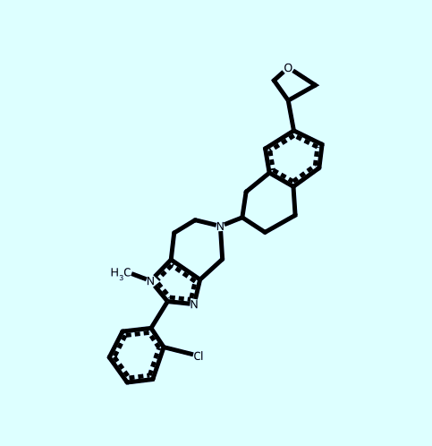 Cn1c(-c2ccccc2Cl)nc2c1CCN(C1CCc3ccc(C4COC4)cc3C1)C2